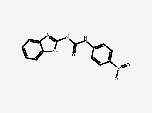 O=C(Nc1ccc([N+](=O)[O-])cc1)Nc1nc2ccccc2[nH]1